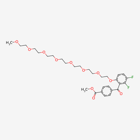 COCCOCCOCCOCCOCCOCCOCCOc1ccc(F)c(F)c1C(=O)c1ccc(C(=O)OC)cc1